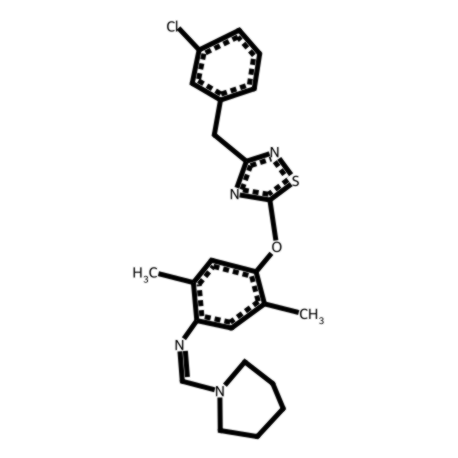 Cc1cc(Oc2nc(Cc3cccc(Cl)c3)ns2)c(C)cc1/N=C\N1CCCCC1